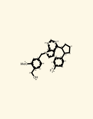 COc1cc(Cn2ccc3c(C4CCCC4c4ccc(C(F)(F)F)cc4)ncnc32)ccc1CO